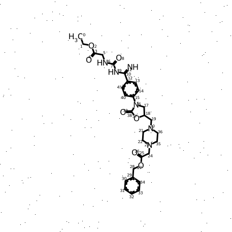 CCOC(=O)CNC(=O)NC(=N)c1ccc(N2CC(CN3CCN(CC(=O)OCc4ccccc4)CC3)OC2=O)cc1